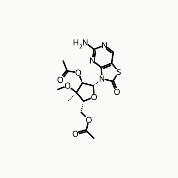 CO[C@]1(C)[C@@H](COC(C)=O)O[C@@H](n2c(=O)sc3cnc(N)nc32)[C@@H]1OC(C)=O